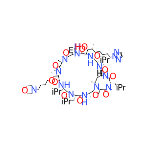 CC[C@@H]1NC(=O)[C@H]([C@H](O)[C@H](C)CCCCCn2nccn2)NC(=O)[C@H](C(C)C)N(C)C(=O)[C@@H]2CC(C)N(C(=O)[C@H](C)NC(=O)[C@H](CC(C)C)N(C)C(=O)[C@H](C(C)C)NC(=O)[C@H]([C@@H](C)OCCCCN3CCOCC3)N(C)C(=O)[C@@H](C)N(C)C1=O)[C@H](C)C(=O)N(C)[C@@H](CC(C)C)C(=O)N2C